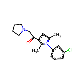 Cc1cc(C(=O)CN2CCCC2)c(C)n1-c1cccc(Cl)c1